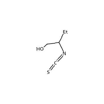 CCC(CO)N=C=S